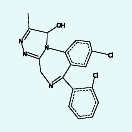 CC1=NN=C2CN=C(c3ccccc3Cl)c3cc(Cl)ccc3N2C1O